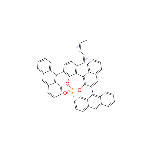 C/C=C\C=C/c1ccc(-c2c3ccccc3cc3ccccc23)c2c1-c1c(c(-c3c4ccccc4cc4ccccc34)cc3ccccc13)OP(C)(=O)O2